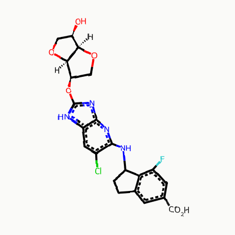 O=C(O)c1cc(F)c2c(c1)CCC2Nc1nc2nc(O[C@@H]3CO[C@H]4[C@@H]3OC[C@H]4O)[nH]c2cc1Cl